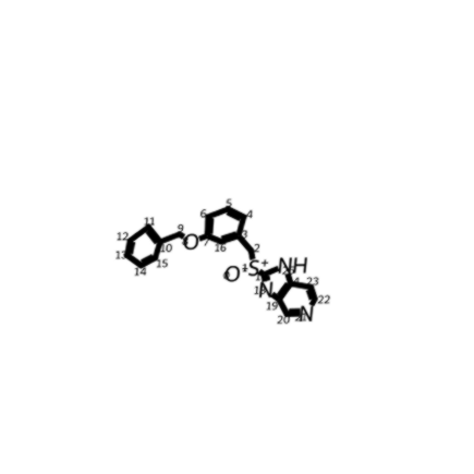 [O-][S+](Cc1cccc(OCc2ccccc2)c1)c1nc2cnccc2[nH]1